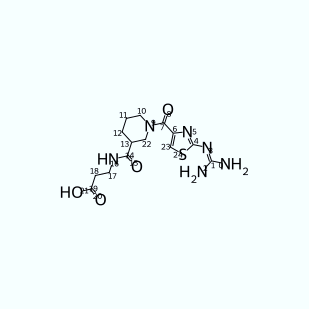 NC(N)=Nc1nc(C(=O)N2CCCC(C(=O)NCCC(=O)O)C2)cs1